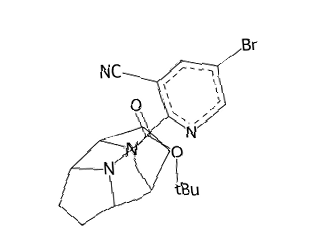 CC(C)(C)OC(=O)N1C2CCC1C1CCC2N1c1ncc(Br)cc1C#N